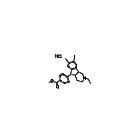 CCN1CCC2C(C1)c1cc(I)c(C)cc1C2c1ccc(C(=O)OC)cc1.Cl